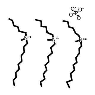 CCCCCCCCCCC[N+](C)(C)CCCCCC.CCCCCCCCCCC[N+](C)(C)CCCCCC.CCCCCCCCCCC[N+](C)(C)CCCCCC.O=P([O-])([O-])[O-]